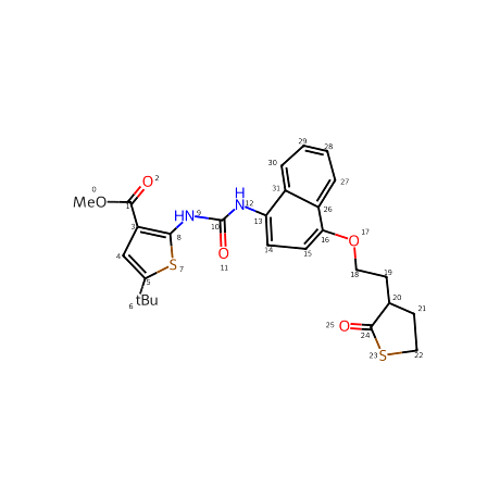 COC(=O)c1cc(C(C)(C)C)sc1NC(=O)Nc1ccc(OCCC2CCSC2=O)c2ccccc12